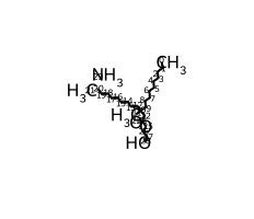 CCCCCCCCCCC(C)(CCCCCCCCCC)CC(=O)OCCO.N